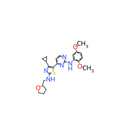 COc1ccc(OC)c(Nc2nccc(-c3sc(NCC4CCCO4)nc3C3CC3)n2)c1